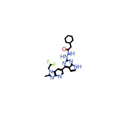 Cc1nc2ncc(-c3nc(NNC(=O)CC4CCCCC4)nc4[nH]ccc34)cc2n1CC(F)F